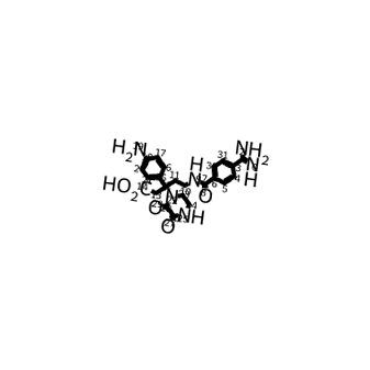 N=C(N)c1ccc(C(=O)NCCC(CC(=O)O)(c2ccc(N)cc2)N2CCNC(=O)C2=O)cc1